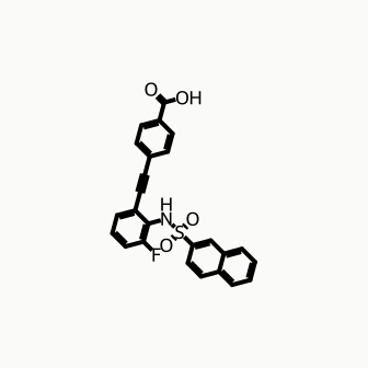 O=C(O)c1ccc(C#Cc2cccc(F)c2NS(=O)(=O)c2ccc3ccccc3c2)cc1